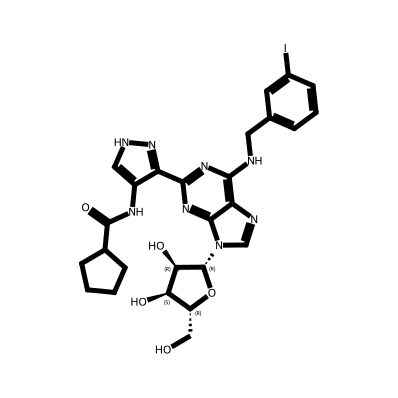 O=C(Nc1c[nH]nc1-c1nc(NCc2cccc(I)c2)c2ncn([C@@H]3O[C@H](CO)[C@@H](O)[C@H]3O)c2n1)C1CCCC1